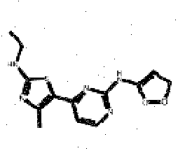 CCNc1nc(C)c(-c2ccnc(NC3=CCOO3)n2)s1